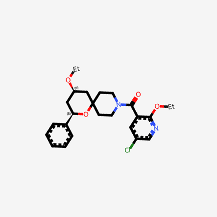 CCOc1ncc(Cl)cc1C(=O)N1CCC2(CC1)C[C@H](OCC)C[C@H](c1ccccc1)O2